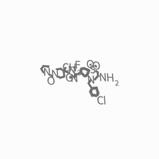 CC1(c2nc(-c3cc4c(cc3F)S(=O)(=O)C[C@H](N)CN4Cc3ccc(Cl)cc3)no2)CCN(C(=O)N2CCCC2)CC1